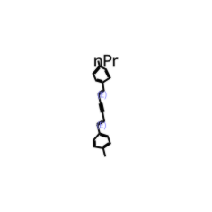 CCCc1ccc(/C=C/C#C/C=C/c2ccc(C)cc2)cc1